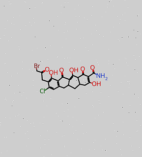 NC(=O)C1=C(O)CC2CC3Cc4cc(Cl)c(CC(=O)CBr)c(O)c4C(=O)C3=C(O)C2C1=O